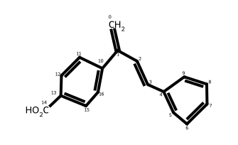 C=C(/C=C/c1ccccc1)c1ccc(C(=O)O)cc1